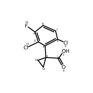 O=C(O)C1(c2c(Cl)ccc(F)c2Cl)CC1